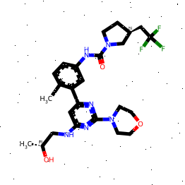 Cc1ccc(NC(=O)N2CC[C@@H](CC(F)(F)F)C2)cc1-c1cc(NC[C@@H](C)O)nc(N2CCOCC2)n1